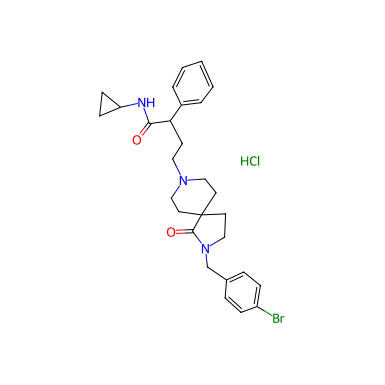 Cl.O=C(NC1CC1)C(CCN1CCC2(CC1)CCN(Cc1ccc(Br)cc1)C2=O)c1ccccc1